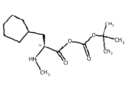 CN[C@@H](CC1CCCCC1)C(=O)OC(=O)OC(C)(C)C